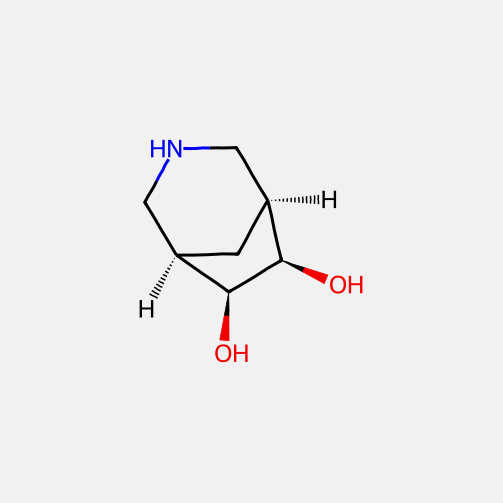 O[C@@H]1[C@@H]2CNC[C@@H](C2)[C@@H]1O